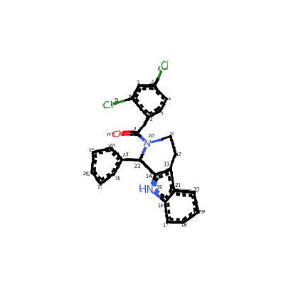 O=C(c1ccc(Cl)cc1Cl)N1CCc2c([nH]c3ccccc23)C1c1ccccc1